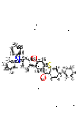 O=c1c2ccc(-c3ccccc3)cc2sc2cc3oc4cc(N(c5ccccc5)c5ccccc5)ccc4c3cc12